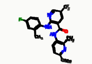 COc1ccc(NC(=O)c2cc(C(F)(F)F)cnc2Nc2ccc(F)cc2C)c(C)n1